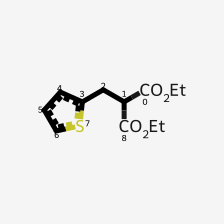 CCOC(=O)C(Cc1cccs1)C(=O)OCC